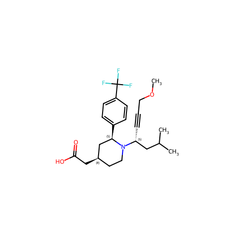 COCC#C[C@H](CC(C)C)N1CC[C@@H](CC(=O)O)C[C@H]1c1ccc(C(F)(F)F)cc1